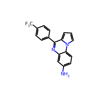 Nc1ccc2c(c1)nc(-c1ccc(C(F)(F)F)cc1)c1cccn12